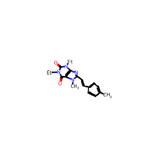 CCn1c(=O)c2c(nc(C=Cc3ccc(C)cc3)n2C)n(CC)c1=O